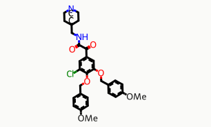 COc1ccc(COc2cc(C(=O)C(=O)NCC34CCN(CC3)CC4)cc(Cl)c2OCc2ccc(OC)cc2)cc1